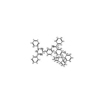 c1ccc(-c2nc(-c3ccccc3)nc(-c3ccc4c(c3)nc(-c3ccccc3)c3cc5c(cc34)C3(c4ccccc4S5)c4ccccc4-c4ccccc43)n2)cc1